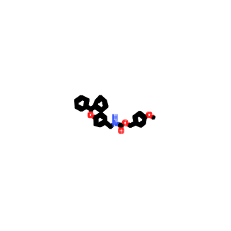 COc1ccc(COC(=O)N[CH]c2ccc(OC(c3ccccc3)c3ccccc3)cc2)cc1